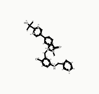 Cn1c(=O)c2ccc(-c3cnc(C(C)(C)O)nc3)cc2n1Cc1cc(NCc2cccnc2)ccc1Cl